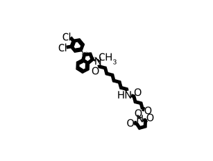 CN(C(=O)CCCCCCCNC(=O)CCC(=O)ON1C(=O)CCC1=O)[C@@H]1C[C@@H](c2ccc(Cl)c(Cl)c2)c2ccccc21